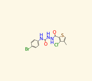 Cc1csc(C(=O)NNC(=O)Nc2ccc(Br)cc2)c1Cl